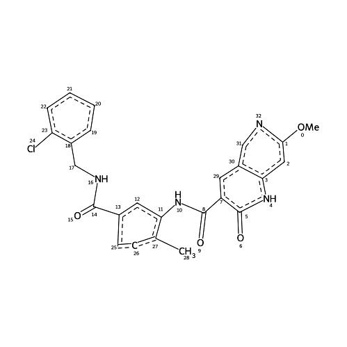 COc1cc2[nH]c(=O)c(C(=O)Nc3cc(C(=O)NCc4ccccc4Cl)ccc3C)cc2cn1